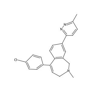 Cc1ccc(-c2ccc3c(c2)CN(C)CC=C3c2ccc(Cl)cc2)nn1